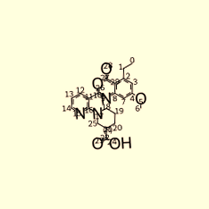 CCc1cc(OC)cc2nc(-c3cccnc3N3CCC[C@@H](C(=O)O)C3)oc(=O)c12